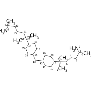 CC(N)CCCC(C)(C)C1CCC(CC2CCC(C(C)(C)CCCC(C)N)CC2)CC1